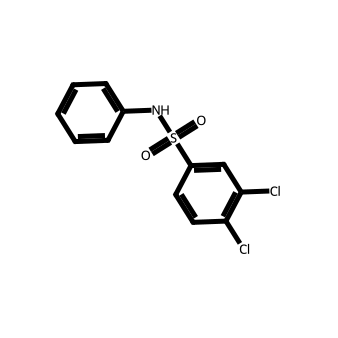 O=S(=O)(Nc1ccccc1)c1ccc(Cl)c(Cl)c1